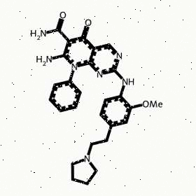 COc1cc(CCN2CCCC2)ccc1Nc1ncc2c(=O)c(C(N)=O)c(N)n(-c3ccccc3)c2n1